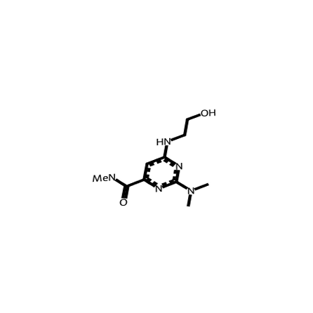 CNC(=O)c1cc(NCCO)nc(N(C)C)n1